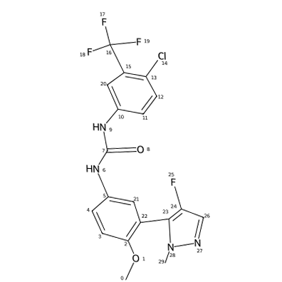 COc1ccc(NC(=O)Nc2ccc(Cl)c(C(F)(F)F)c2)cc1-c1c(F)cnn1C